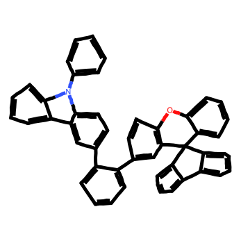 c1ccc(-n2c3ccccc3c3cc(-c4ccccc4-c4ccc5c(c4)C4(c6ccccc6O5)c5ccccc5-c5ccccc54)ccc32)cc1